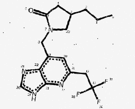 CCCC1CC(=O)N(Cc2cc(CC(F)(F)F)nc3[nH]cnc23)C1